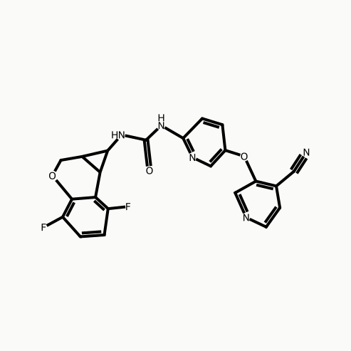 N#Cc1ccncc1Oc1ccc(NC(=O)NC2C3COc4c(F)ccc(F)c4C32)nc1